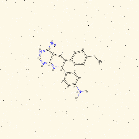 CC(C)Cc1ccc(-c2cc3c(N)ncnc3nc2-c2ccc(N(C)C)cc2)cc1